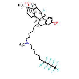 CN(CCCCCCC(F)(F)C(F)(F)C(F)(F)C(F)(F)F)CCCCC[C@@H]1Cc2cc(O)ccc2[C@@H]2[C@@H]1[C@@H]1CC[C@@](C)(O)[C@@]1(C)C[C@@H]2F